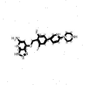 Nc1cc(OCc2c(F)cc(-c3ccc(N4CCNCC4)nc3)cc2F)c2nn[nH]c2n1